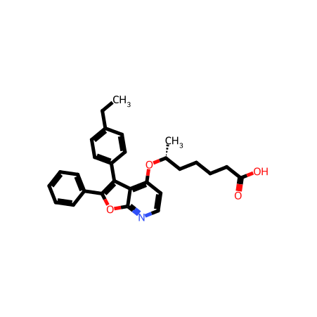 CCc1ccc(-c2c(-c3ccccc3)oc3nccc(O[C@H](C)CCCCC(=O)O)c23)cc1